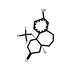 O=C1CC[C@@]2(CC(F)(F)F)c3ccc(O)cc3CCC[C@H]2C1